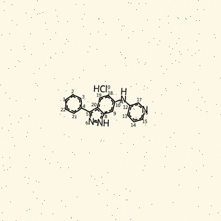 Cl.c1ccc(-c2n[nH]c3cc(Nc4cccnc4)ccc23)cc1